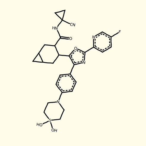 N#CC1(NC(=O)C2CC3CC3CC2c2oc(-c3ccc(F)cn3)nc2-c2ccc(N3CCS(O)(O)CC3)cc2)CC1